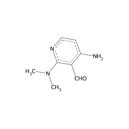 CN(C)c1nccc(N)c1C=O